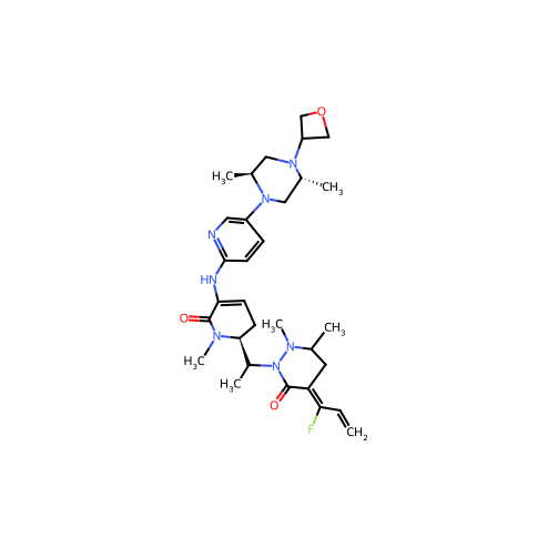 C=C/C(F)=C1\CC(C)N(C)N(C(C)[C@@H]2CC=C(Nc3ccc(N4C[C@@H](C)N(C5COC5)C[C@@H]4C)cn3)C(=O)N2C)C1=O